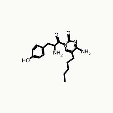 CCCCCc1cn(C(=O)C(N)Cc2ccc(O)cc2)c(=O)nc1N